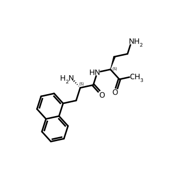 CC(=O)[C@H](CCN)NC(=O)[C@@H](N)Cc1cccc2ccccc12